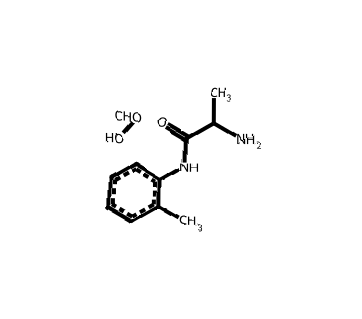 Cc1ccccc1NC(=O)C(C)N.O=CO